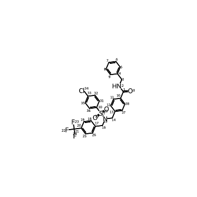 O=C(NCc1ccccc1)c1ccc(CN(Cc2ccc(C(F)(F)F)cc2)S(=O)(=O)c2ccc(Cl)cc2)cc1